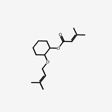 CC(C)=CCOC1CCCCC1OC(=O)C=C(C)C